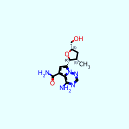 C[C@H]1C[C@@H](CO)O[C@H]1c1cc(C(N)=O)c2c(N)ncnn12